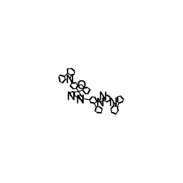 c1ccc2c(c1)Oc1cc(-n3c4ccccc4c4ccccc43)ccc1C21c2cccnc2-c2ncc(-c3ccc4c(c3)c3ccccc3n4-c3cc(-n4c5ccccc5c5ccccc54)ccn3)cc21